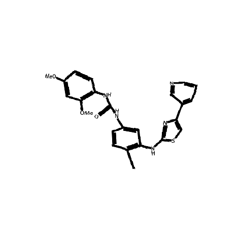 COc1ccc(NC(=O)Nc2ccc(C)c(Nc3nc(-c4cccnc4)cs3)c2)c(OC)c1